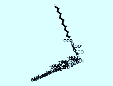 CCCCCCCCCCCC.O=C(O)O.O=C([O-])[O-].O=C([O-])[O-].O=C([O-])[O-].O=C([O-])[O-].O=C([O-])[O-].O=C([O-])[O-].O=C([O-])[O-].O=C([O-])[O-].O=C([O-])[O-].O=C([O-])[O-].O=C([O-])[O-].O=C([O-])[O-].[Pd+2].[Pd+2].[Pd+2].[Pd+2].[Pd+2].[Pd+2].[Pd+2].[Pd+2].[Pd+2].[Pd+2].[Pd+2].[Pd+2]